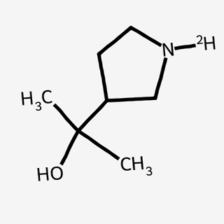 [2H]N1CCC(C(C)(C)O)C1